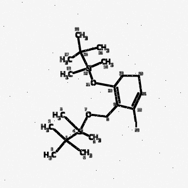 CC(C)(C)[Si](C)(C)OCC1=C(O[Si](C)(C)C(C)(C)C)[CH]CC=C1I